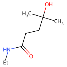 CCNC(=O)CCC(C)(C)O